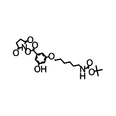 CC(C)(C)OC(=O)NCCCCCCOc1cc(O)cc(C(=O)ON2C(=O)CCC2=O)c1